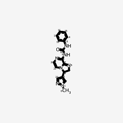 Cn1cc(C2CN=C3C(NC(=O)Nc4ccccc4)=NC=CN32)cn1